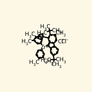 C=c1cc2c(c(C3=CC=CC3)c1C(C)(C)C)=[C]([Zr+2]([c]1ccc(C)c(C)c1)[c]1ccc(C)c(C)c1)c1cc(C(C)(C)C)ccc1-2.[Cl-].[Cl-]